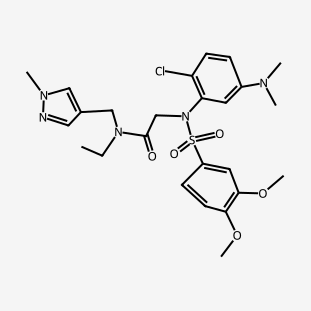 CCN(Cc1cnn(C)c1)C(=O)CN(c1cc(N(C)C)ccc1Cl)S(=O)(=O)c1ccc(OC)c(OC)c1